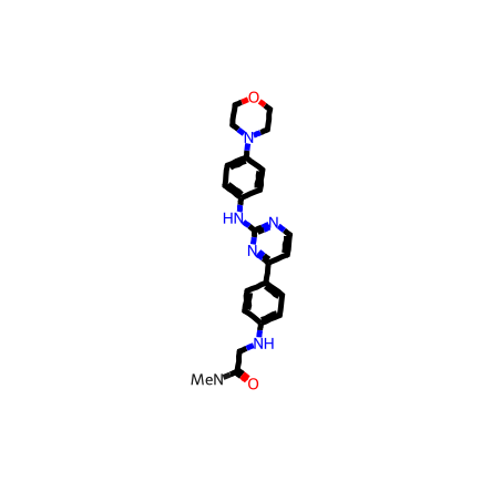 CNC(=O)CNc1ccc(-c2ccnc(Nc3ccc(N4CCOCC4)cc3)n2)cc1